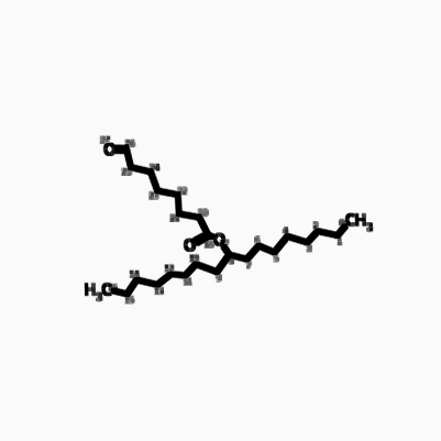 CCCCCCCCC(CCCCCCCC)OC(=O)CCCCCCC=O